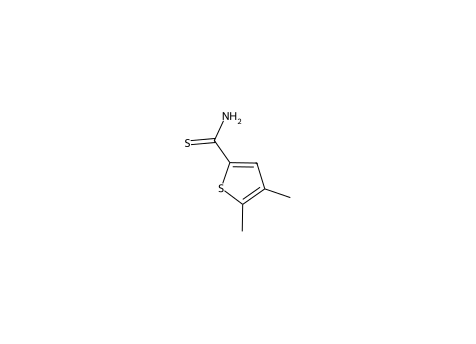 Cc1cc(C(N)=S)sc1C